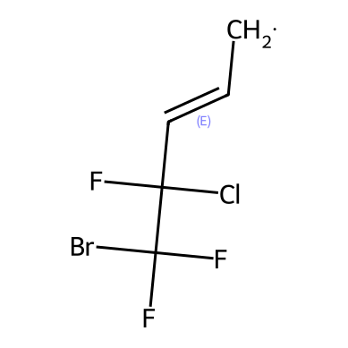 [CH2]/C=C/C(F)(Cl)C(F)(F)Br